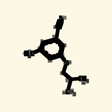 [CH2]c1cc(C#N)cc(OCC(C)C)c1